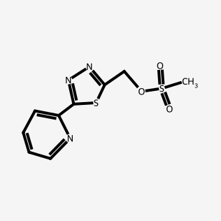 CS(=O)(=O)OCc1nnc(-c2ccccn2)s1